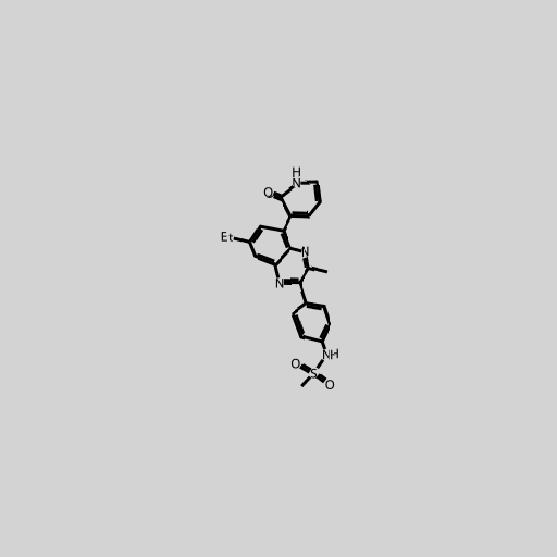 CCc1cc(-c2ccc[nH]c2=O)c2nc(C)c(-c3ccc(NS(C)(=O)=O)cc3)nc2c1